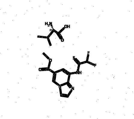 CC(C)[C@H](N)C(=O)O.COC(=O)c1cc(NC(=S)C(F)F)c2nccn2c1